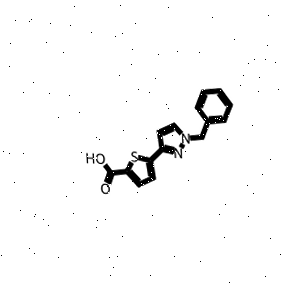 O=C(O)c1ccc(-c2ccn(Cc3ccccc3)n2)s1